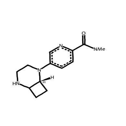 CNC(=O)c1ccc(N2CCNC3CC[C@H]32)cn1